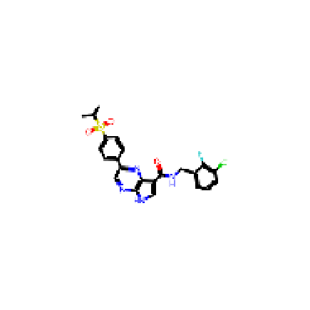 CC(C)S(=O)(=O)c1ccc(-c2cnc3[nH]cc(C(=O)NCc4cccc(Cl)c4F)c3n2)cc1